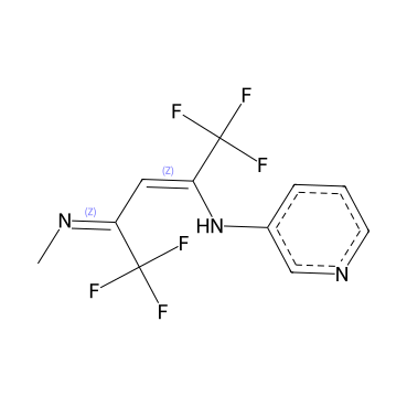 C/N=C(/C=C(\Nc1cccnc1)C(F)(F)F)C(F)(F)F